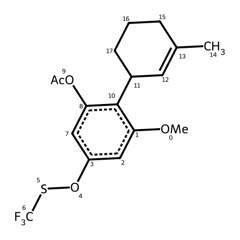 COc1cc(OSC(F)(F)F)cc(OC(C)=O)c1C1C=C(C)CCC1